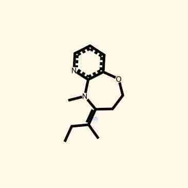 CC/C(C)=C1/CCOc2cccnc2N1C